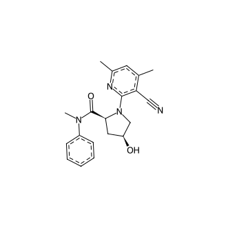 Cc1cc(C)c(C#N)c(N2C[C@@H](O)C[C@H]2C(=O)N(C)c2ccccc2)n1